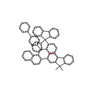 CC1(C)c2ccccc2-c2ccc(-c3ccc4ccccc4c3N(c3ccc(-c4ccccc4)cc3)c3ccccc3C3(c4ccccc4)c4ccccc4-c4ccccc43)cc21